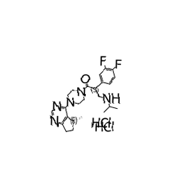 CC(C)NC[C@@H](C(=O)N1CCN(c2ncnc3c2[C@H](C)CC3)CC1)c1ccc(F)c(F)c1.Cl.Cl